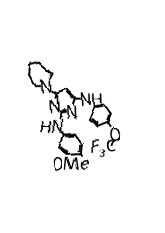 COc1ccc(Nc2nc(Nc3ccc(OC(F)(F)F)cc3)cc(N3CCCCC3)n2)cc1